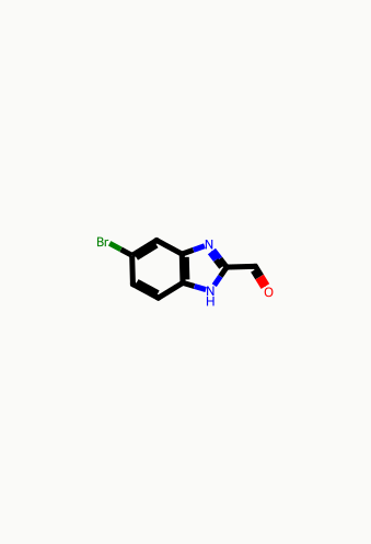 O=Cc1nc2cc(Br)ccc2[nH]1